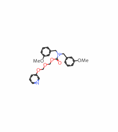 COc1cccc(CN(Cc2cccc(OC)c2)C(=O)OCOCOc2cccnc2)c1